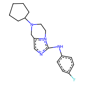 Fc1ccc(Nc2ncc3n2CCN(C2CCCCC2)C3)cc1